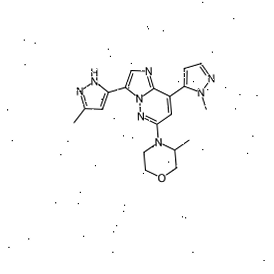 Cc1cc(-c2cnc3c(-c4ccnn4C)cc(N4CCOCC4C)nn23)[nH]n1